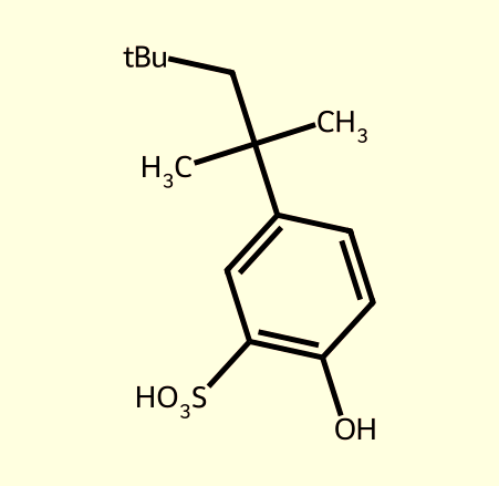 CC(C)(C)CC(C)(C)c1ccc(O)c(S(=O)(=O)O)c1